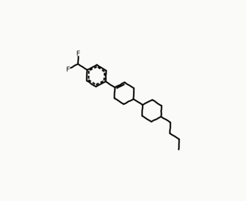 CCCCC1CCC(C2CC=C(c3ccc(C(F)F)cc3)CC2)CC1